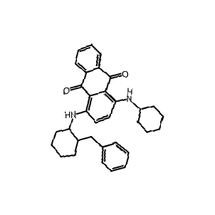 O=C1c2ccccc2C(=O)c2c(NC3CCCCC3Cc3ccccc3)ccc(NC3CCCCC3)c21